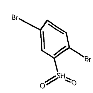 O=[SH](=O)c1cc(Br)ccc1Br